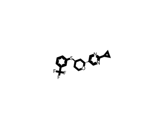 FC(F)(F)c1cccc(S[C@@H]2CCO[C@@H](c3cnc(C4CC4)nc3)C2)c1